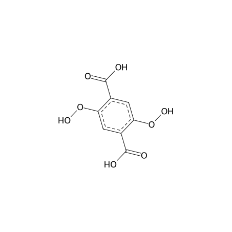 O=C(O)c1cc(OO)c(C(=O)O)cc1OO